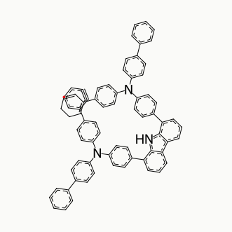 c1cccc(-c2ccc(N(c3ccc(-c4ccccc4)cc3)c3ccc(-c4cccc5c4[nH]c4c(-c6ccc(N(c7ccc(C8=CCCC=C8)cc7)c7ccc(-c8ccccc8)cc7)cc6)cccc45)cc3)cc2)c#1